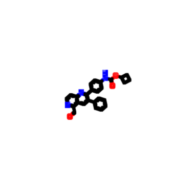 O=Cc1nccc2nc(-c3ccc(NC(=O)OC4CCC4)cc3)c(-c3ccccc3)cc12